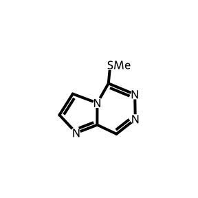 CSc1nncc2nccn12